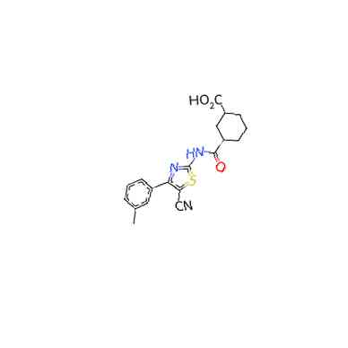 Cc1cccc(-c2nc(NC(=O)C3CCCC(C(=O)O)C3)sc2C#N)c1